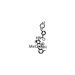 COc1ncc(NC(=O)c2cccc(CN3CCN(C)CC3)c2)cc1S(=O)(=O)Nc1c(C)cccc1C